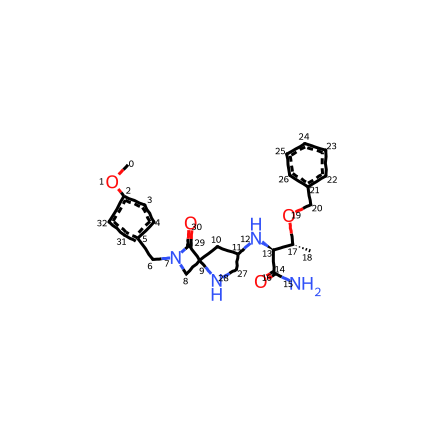 COc1ccc(CN2CC3(CC(N[C@H](C(N)=O)[C@@H](C)OCc4ccccc4)CN3)C2=O)cc1